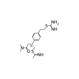 CC(=N)SC[C@H](CC(=O)N(C)C)c1ccc(CCSC(=N)N)cc1